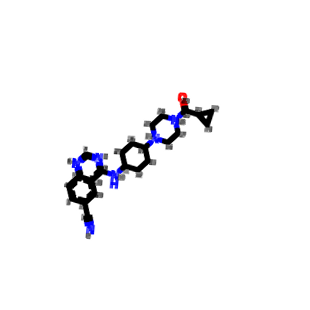 N#Cc1ccc2ncnc(NC3CCC(N4CCN(C(=O)C5CC5)CC4)CC3)c2c1